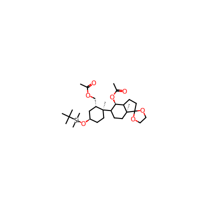 CC(=O)OC[C@H]1C[C@H](O[Si](C)(C)C(C)(C)C)CC[C@]1(C)C1CC[C@@]2(C)C(CCC23OCCO3)[C@@H]1OC(C)=O